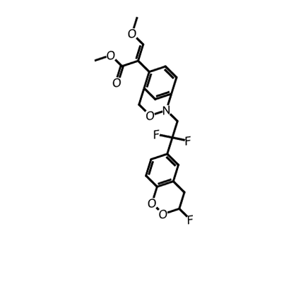 COC=C(C(=O)OC)c1ccc2cc1CON2CC(F)(F)c1ccc2c(c1)CC(F)OO2